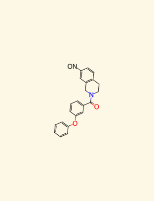 O=Nc1ccc2c(c1)CN(C(=O)c1cccc(Oc3ccccc3)c1)CC2